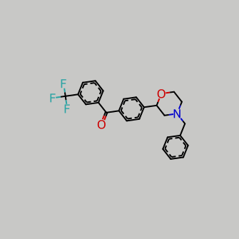 O=C(c1ccc(C2CN(Cc3ccccc3)CCO2)cc1)c1cccc(C(F)(F)F)c1